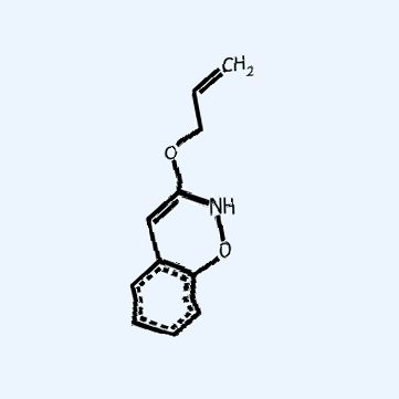 C=CCOC1=Cc2ccccc2ON1